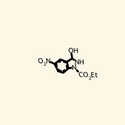 CCOC(=O)N1NC(O)c2cc([N+](=O)[O-])ccc21